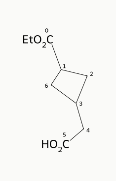 CCOC(=O)C1CC(CC(=O)O)C1